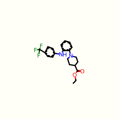 CCOC(=O)C1CCN(c2ccccc2Nc2ccc(C(F)(F)F)cc2)CC1